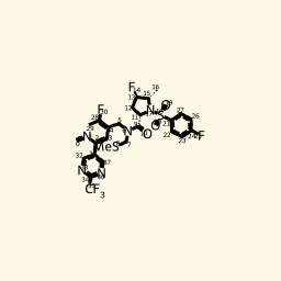 C=N/C(=C\C(CN(CSC)C(=O)[C@@H]1C[C@@H](F)[C@H](C)N1S(=O)(=O)c1ccc(F)cc1)=C(/C)F)c1cnc(C(F)(F)F)nc1